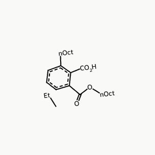 CCC.CCCCCCCCOC(=O)c1cccc(CCCCCCCC)c1C(=O)O